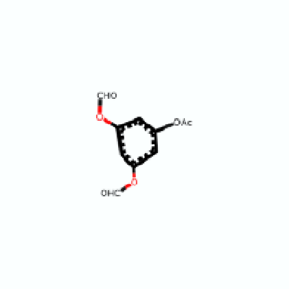 CC(=O)Oc1cc(OC=O)cc(OC=O)c1